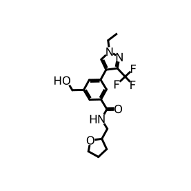 CCn1cc(-c2cc(CO)cc(C(=O)NCC3CCCO3)c2)c(C(F)(F)F)n1